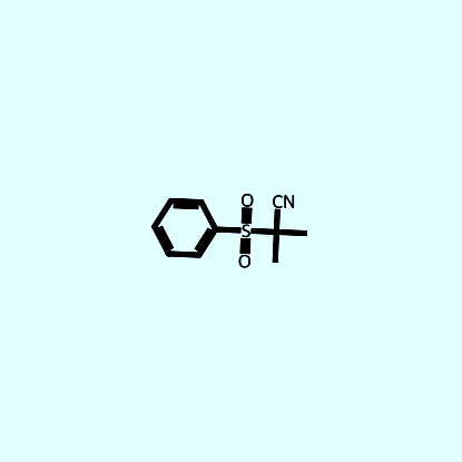 CC(C)(C#N)S(=O)(=O)c1ccccc1